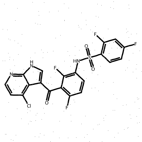 O=C(c1c(F)ccc(NS(=O)(=O)c2ccc(F)cc2F)c1F)c1c[nH]c2nccc(Cl)c12